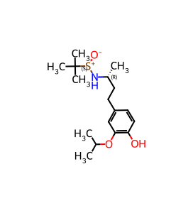 CC(C)Oc1cc(CC[C@@H](C)N[S@+]([O-])C(C)(C)C)ccc1O